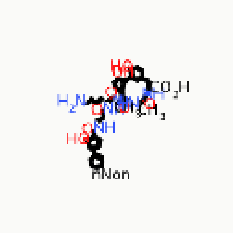 CCCCCCCCCc1ccc(-c2ccc(C(=O)NCCC(=O)N[C@@H](CCCCN)C(=O)N(C)[C@@H]3C(=O)N[C@@H](C)C(=O)N[C@H](C(=O)O)Cc4ccc(O)c(c4)-c4cc3ccc4O)c(O)c2)cc1